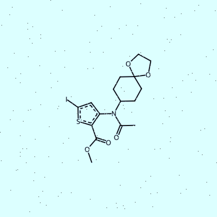 COC(=O)c1sc(I)cc1N(C(C)=O)C1CCC2(CC1)OCCO2